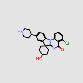 O=c1nc2n(c3cccc(Cl)c13)-c1ccc(C3CCNCC3)cc1C21CCC(O)CC1